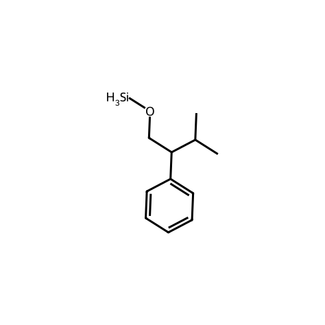 CC(C)C(CO[SiH3])c1ccccc1